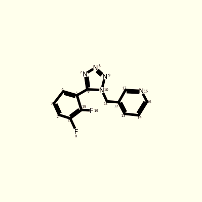 Fc1cccc(-c2nnnn2Cc2cccnc2)c1F